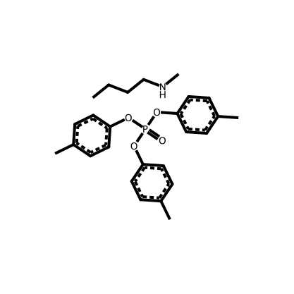 CCCCNC.Cc1ccc(OP(=O)(Oc2ccc(C)cc2)Oc2ccc(C)cc2)cc1